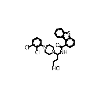 CCCC(NC(=O)c1cccc2sc3ccccc3c12)N1CCN(c2cccc(Cl)c2Cl)CC1.Cl